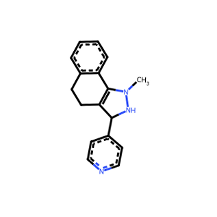 CN1NC(c2ccncc2)C2=C1c1ccccc1CC2